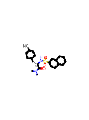 CN(C)C(=O)[C@H](Cc1ccc(C#N)cc1)NS(=O)(=O)c1ccc2ccccc2c1